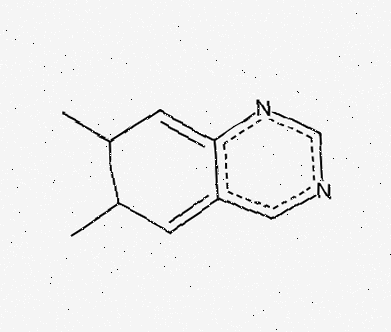 CC1C=c2cncnc2=CC1C